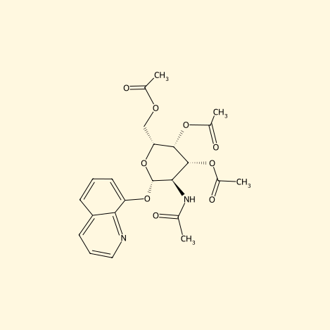 CC(=O)N[C@H]1[C@H](Oc2cccc3cccnc23)O[C@H](COC(C)=O)[C@H](OC(C)=O)[C@@H]1OC(C)=O